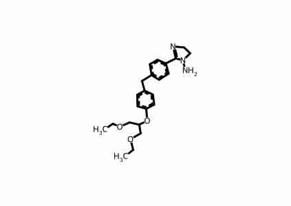 CCOCC(COCC)Oc1ccc(Cc2ccc(C3=NCCN3N)cc2)cc1